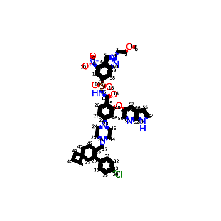 COCCn1cc2c([N+](=O)[O-])cc(S(=O)(=O)NC(=O)c3ccc(N4CCN(CC5=C(c6ccc(Cl)cc6)CC6(CCC6)CC5)CC4)cc3Oc3cnc4[nH]ccc4c3)cc2n1